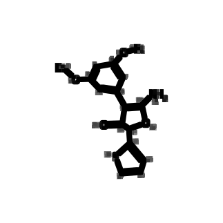 CCOc1cc(OCC)cc(C2=C(N)OC(c3cccs3)C2=O)c1